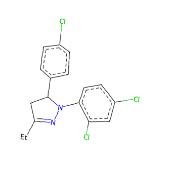 CCC1=NN(c2ccc(Cl)cc2Cl)C(c2ccc(Cl)cc2)C1